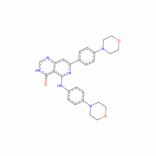 O=c1[nH]cnc2cc(-c3ccc(N4CCOCC4)cc3)nc(Nc3ccc(N4CCOCC4)cc3)c12